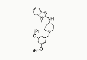 CC(C)Oc1cc(CN2CCC(Nc3nc4ccccc4n3C)CC2)cc(OC(C)C)c1